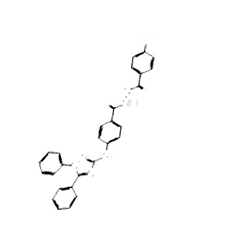 O=C(NNC(=O)c1ccc(Nc2nc(-c3ccccc3)n(-c3ccccc3)n2)cc1)c1ccc(Cl)cc1